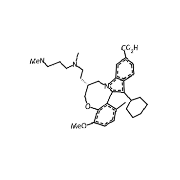 CNCCCN(C)CC[C@H]1COc2c(OC)ccc(C)c2-c2c(C3CCCCC3)c3ccc(C(=O)O)cc3n2C1